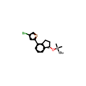 CC(C)(C)[Si](C)(C)O[C@@H]1CCc2c(-c3cc(Br)cs3)cccc21